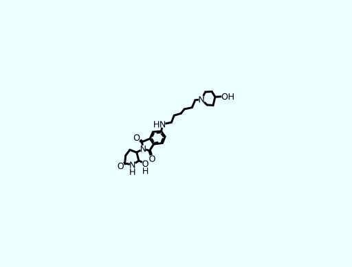 O=C1CCC(N2C(=O)c3ccc(NCCCCCCN4CCC(O)CC4)cc3C2=O)C(O)N1